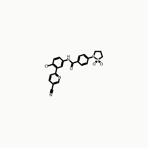 N#Cc1ccc(-c2cc(NC(=O)c3ccc(N4CCCS4(=O)=O)cc3)ccc2Cl)nc1